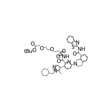 Cc1c(-c2ccc(N3CCc4cccc(C(=O)Nc5nc6ccccc6s5)c4C3)nc2C(=O)NS(=O)(=O)CCOCCOCC(=O)OC(C)(C)C)cnn1CC1CCCCC1